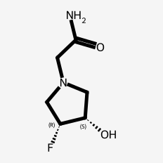 NC(=O)CN1C[C@@H](F)[C@@H](O)C1